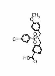 COc1ccc(CN(Cc2ccc(C(=O)O)cc2)S(=O)(=O)c2ccc(Cl)cc2)cc1